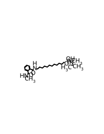 CNC(=O)c1ccccc1C(=O)NCCCCCCCCCCCCOP(O)N(C)C(C)C